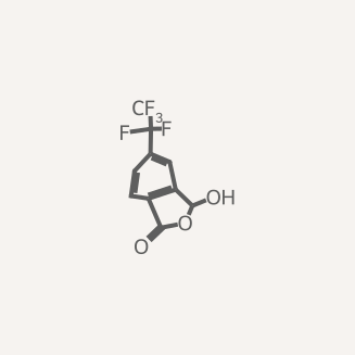 O=C1OC(O)c2cc(C(F)(F)C(F)(F)F)ccc21